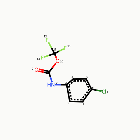 O=C(Nc1ccc(Cl)cc1)OC(F)(F)F